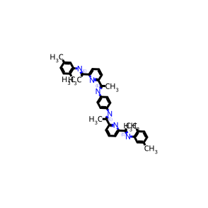 C/C(=N\c1ccc(/N=C(\C)c2cccc(/C(C)=N/c3cc(C)ccc3C)n2)cc1)c1cccc(/C(C)=N/c2cc(C)ccc2C)n1